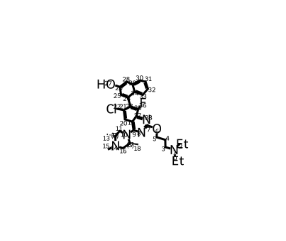 CCN(CC)CCCOc1nc(N2C[C@@H](C)N(C)C[C@@H]2C)c2cc(Cl)c(-c3cc(O)cc4ccccc34)c(F)c2n1